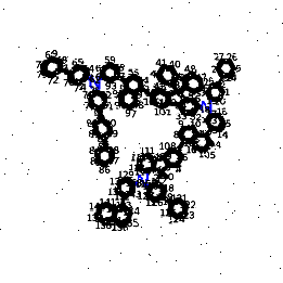 CC1(C)c2ccc(-c3cccc4c(-c5cccc(N(c6ccc(-c7ccccc7)cc6)c6ccc7c(c6)C(c6ccccc6)(c6ccccc6)c6cc(-c8ccc(-c9cccc(N(c%10ccc(-c%11ccccc%11)cc%10)c%10ccc(-c%11ccc(-c%12ccccc%12)cc%11)cc%10)c9)c9ccccc89)ccc6-7)c5)cccc34)cc2-c2cccc(N(c3ccc(-c4ccccc4)cc3)c3cccc(-c4cccc5ccccc45)c3)c21